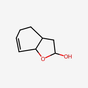 OC1CC2CCC=CC2O1